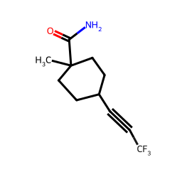 CC1(C(N)=O)CCC(C#CC(F)(F)F)CC1